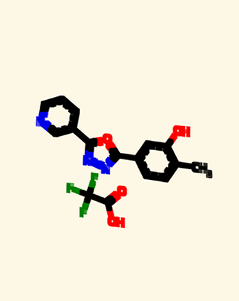 Cc1ccc(-c2nnc(-c3cccnc3)o2)cc1O.O=C(O)C(F)(F)F